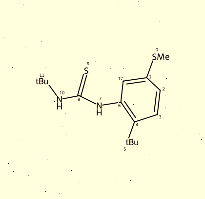 CSc1ccc(C(C)(C)C)c(NC(=S)NC(C)(C)C)c1